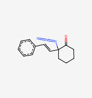 [N-]=[N+]=NC1(C=Cc2ccccc2)CCCCC1=O